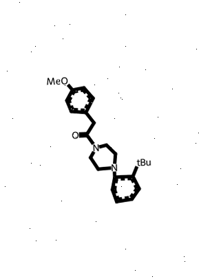 COc1ccc(CC(=O)N2CCN(c3ccccc3C(C)(C)C)CC2)cc1